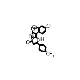 Cc1nn2c(=O)cc(-c3ccc(C(F)(F)F)cc3)[nH]c2c1-c1ccc(Cl)cc1Cl